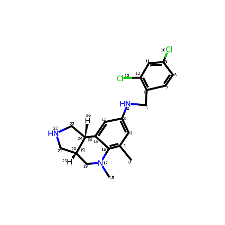 Cc1cc(NCc2ccc(Cl)cc2Cl)cc2c1N(C)C[C@@H]1CNC[C@H]21